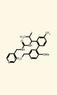 CCOC(=O)Cc1ccc(OC)c(-c2ccc(C(F)(F)F)cc2C(NC(=O)NCc2ccncc2)C(C)I)c1